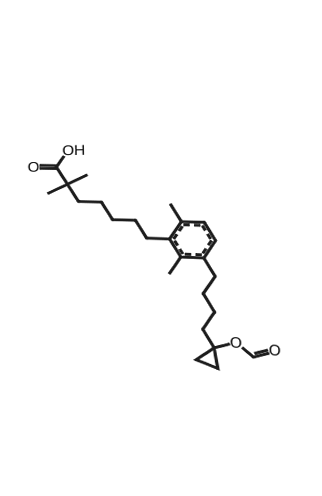 Cc1ccc(CCCCC2(OC=O)CC2)c(C)c1CCCCCC(C)(C)C(=O)O